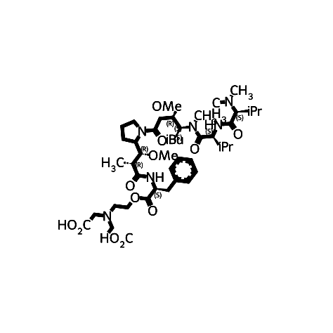 CC[C@H](C)[C@@H]([C@@H](CC(=O)N1CCCC1[C@H](OC)[C@@H](C)C(=O)N[C@@H](Cc1ccccc1)C(=O)OCCN(CC(=O)O)CC(=O)O)OC)N(C)C(=O)[C@@H](NC(=O)[C@H](C(C)C)N(C)C)C(C)C